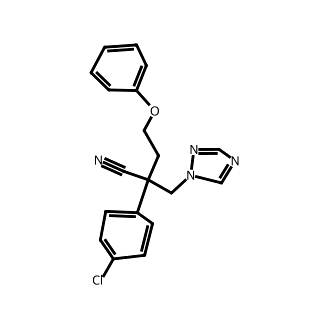 N#CC(CCOc1ccccc1)(Cn1cncn1)c1ccc(Cl)cc1